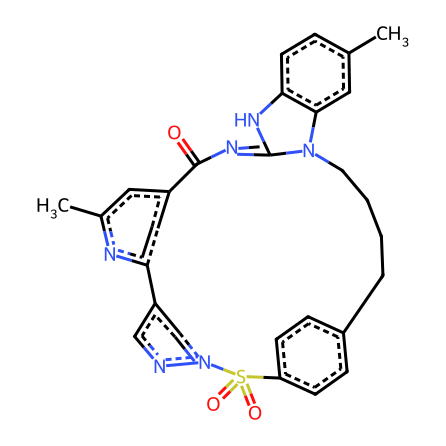 Cc1ccc2c(c1)N1CCCCc3ccc(cc3)S(=O)(=O)n3cc(cn3)-c3cc(cc(C)n3)C(=O)/N=C/1N2